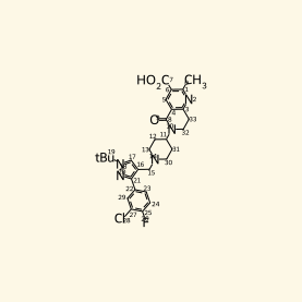 Cc1nc2c(cc1C(=O)O)C(=O)N(C1CCN(Cc3cn(C(C)(C)C)nc3-c3ccc(F)c(Cl)c3)CC1)CC2